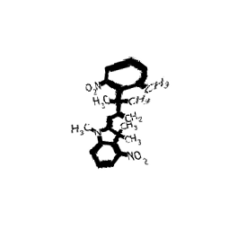 C=C(/C=C1/N(C)c2cccc([N+](=O)[O-])c2C1(C)C)C(C)(C)c1c(C)cccc1[N+](=O)[O-]